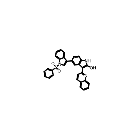 O=S(=O)(c1ccccc1)n1cc(-c2ccc3[nH]c(O)c(-c4ccc5ccccc5n4)c3c2)c2ccccc21